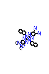 [C-]#[N+]c1cc2nc3c(nc2cc1[N+]#[C-])N(c1ccc2ccccc2c1)c1nc2cc(C#N)c(C#N)cc2nc1N3c1ccc2ccccc2c1